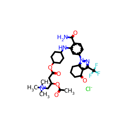 CC(=O)OC(CC(=O)OC1CCC(Nc2cc(-n3nc(C(F)(F)F)c4c3CCCC4=O)ccc2C(N)=O)CC1)C[N+](C)(C)C.[Cl-]